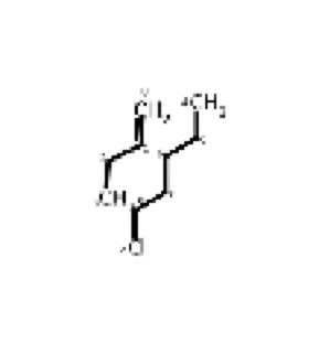 C=CCC.CCCCCCl